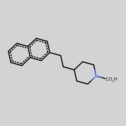 O=C(O)N1CCC(CCc2ccc3ccccc3c2)CC1